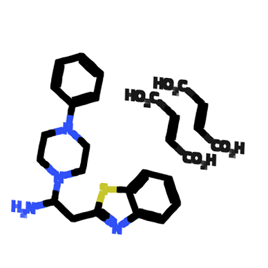 NC(Cc1nc2ccccc2s1)N1CCN(c2ccccc2)CC1.O=C(O)C=CC(=O)O.O=C(O)C=CC(=O)O